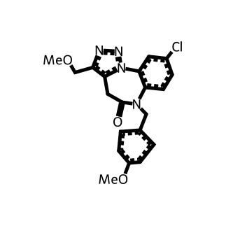 COCc1nnn2c1CC(=O)N(Cc1ccc(OC)cc1)c1ccc(Cl)cc1-2